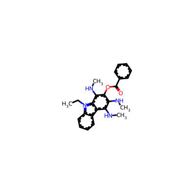 CCn1c2ccccc2c2c(NC)c(NC)c(OC(=O)c3ccccc3)c(NC)c21